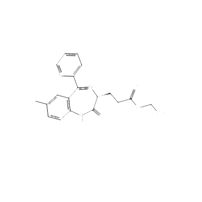 CCOC(=O)CC[C@@H]1N=C(c2ccccn2)c2cc(Cl)ccc2NC1=O